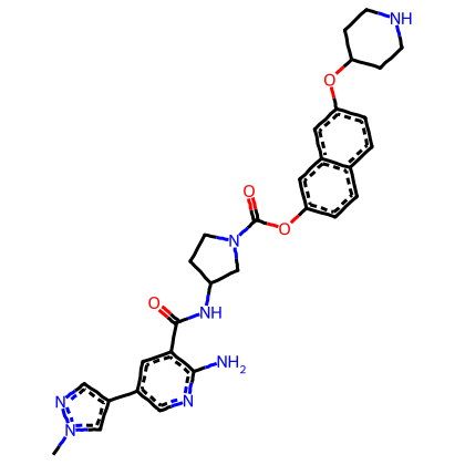 Cn1cc(-c2cnc(N)c(C(=O)NC3CCN(C(=O)Oc4ccc5ccc(OC6CCNCC6)cc5c4)C3)c2)cn1